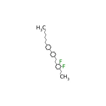 CCCCCCCc1ccc(-c2ccc(CCc3ccc(CCC)c(F)c3F)cc2)cc1